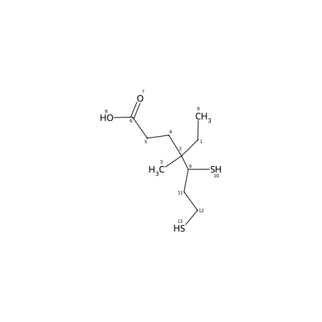 CCC(C)(CCC(=O)O)C(S)CCS